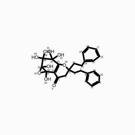 O=C1CC(CCc2ccccc2)(CCc2ccccc2)OC2=C1C1(O)OC1(O)C(O)(O)C2(O)O